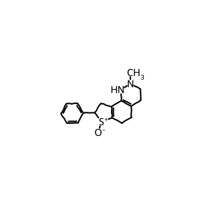 CN1CCC2=C(N1)C1=C(CC2)[S+]([O-])C(c2ccccc2)C1